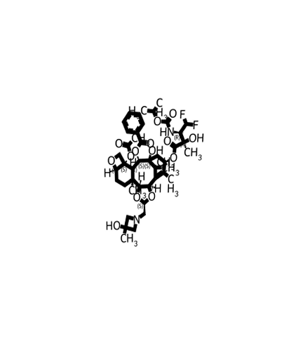 CC(=O)O[C@@]12CO[C@@H]1CC[C@@]1(C)[C@@H]3O[C@H](CN4CC(C)(O)C4)O[C@@H]3C3=C(C)[C@@H](OC(=O)[C@](C)(O)[C@@H](NC(=O)OC(C)C)C(F)F)C[C@@](O)([C@@H](OC(=O)c4ccccc4)[C@@H]12)C3(C)C